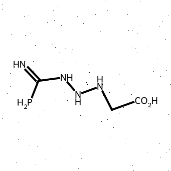 N=C(P)NNNCC(=O)O